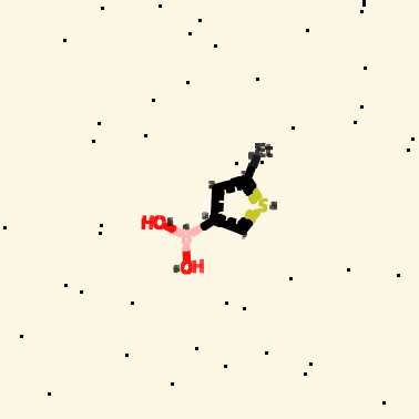 CCc1cc(B(O)O)cs1